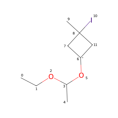 CCOC(C)O[C]1CC(C)(I)C1